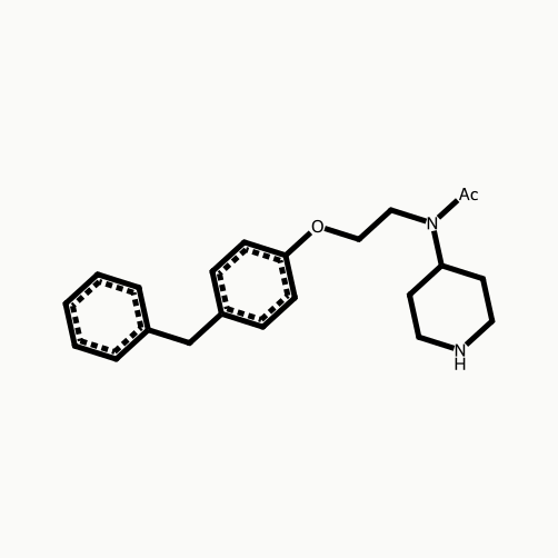 CC(=O)N(CCOc1ccc(Cc2ccccc2)cc1)C1CCNCC1